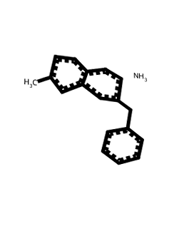 Cc1ccc2ccc(Cc3ccccc3)cc2c1.N